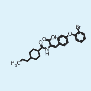 CCCC1CCC(C(=O)NC(=Cc2ccc(Oc3ccccc3Br)cc2)C(=O)O)CC1